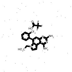 Nc1nc(N)c2c(cc(-c3ccccc3C(F)(F)F)c3c2ccn3CC(=O)O)n1.O=C(O)C(F)(F)F